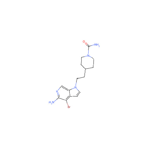 NC(=O)N1CCC(CCn2ccc3c(Br)c(N)ncc32)CC1